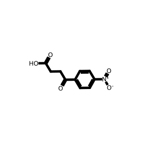 O=C(O)CCC(=O)c1ccc([N+](=O)[O-])cc1